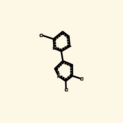 Clc1cc[c]c(-c2cnc(Cl)c(Cl)c2)n1